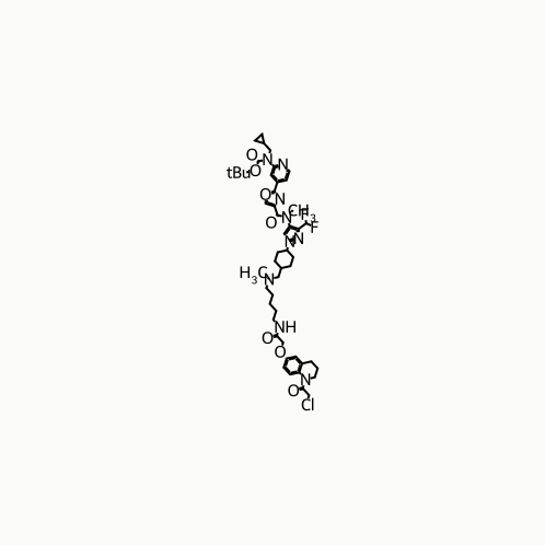 CN(CCCCCNC(=O)COc1ccc2c(c1)CCCN2C(=O)CCl)CC1CCC(n2cc(N(C)C(=O)c3coc(-c4ccnc(N(CC5CC5)C(=O)OC(C)(C)C)c4)n3)c(C(F)F)n2)CC1